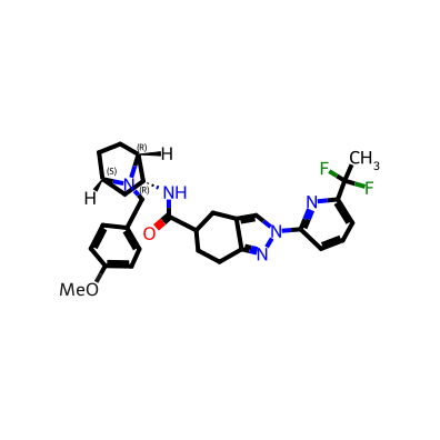 COc1ccc(CN2[C@H]3CC[C@@H]2[C@H](NC(=O)C2CCc4nn(-c5cccc(C(C)(F)F)n5)cc4C2)C3)cc1